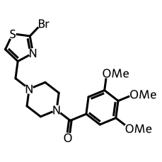 COc1cc(C(=O)N2CCN(Cc3csc(Br)n3)CC2)cc(OC)c1OC